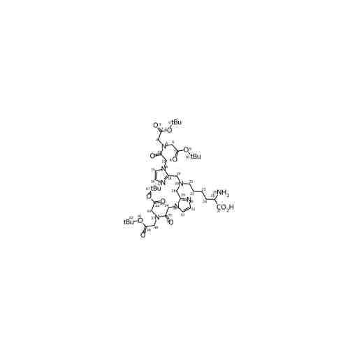 CC(C)(C)OC(=O)CN(CC(=O)OC(C)(C)C)C(=O)Cn1ccnc1CN(CCCCC(N)C(=O)O)Cc1nccn1CC(=O)N(CC(=O)OC(C)(C)C)CC(=O)OC(C)(C)C